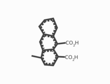 Cc1ccc(C(=O)O)c2c(C(=O)O)c3ccccc3cc12